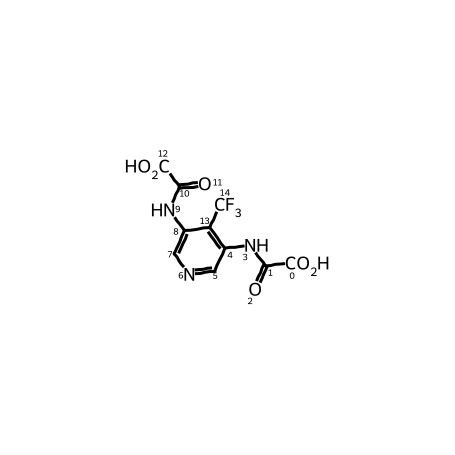 O=C(O)C(=O)Nc1cncc(NC(=O)C(=O)O)c1C(F)(F)F